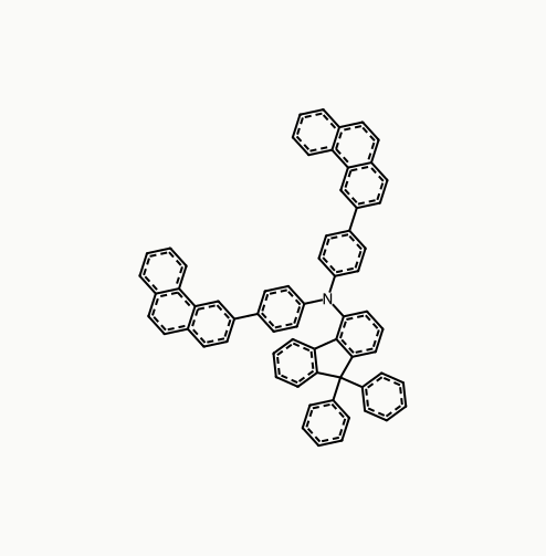 c1ccc(C2(c3ccccc3)c3ccccc3-c3c(N(c4ccc(-c5ccc6ccc7ccccc7c6c5)cc4)c4ccc(-c5ccc6ccc7ccccc7c6c5)cc4)cccc32)cc1